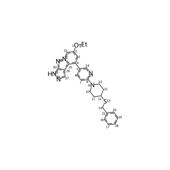 CCOc1cc(-c2ccc(N3CCC(SCc4ccccc4)CC3)nc2)c2c3cn[nH]c3nn2c1